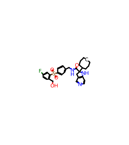 O=C(NCc1ccc(S(=O)(=O)c2cc(F)ccc2CO)cc1)C1(C2CCCCCCC2)Cc2cnccc2N1